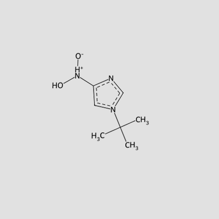 CC(C)(C)n1cnc([NH+]([O-])O)c1